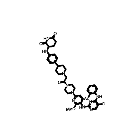 COc1nc(N2CCN(C(=O)CN3CCC(c4ccc(NC5CCC(=O)NC5=O)cc4)CC3)CC2)ccc1Nc1ncc(Cl)c(Nc2ccccc2C(C)=O)n1